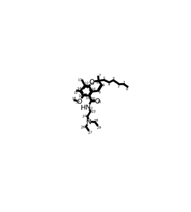 CCCCCCC1(C)C=Cc2c(c(C)c(C)c(OC)c2C(=O)NCCN(CC)CC)O1